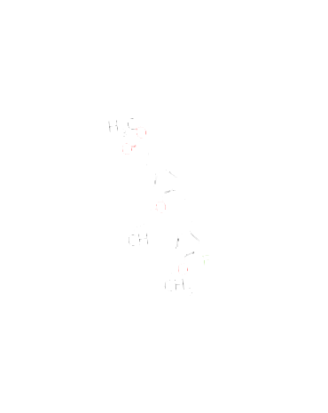 CCCCOc1cc(CCC(=O)OC)ccc1CCCc1ccc(OCC)c(F)c1